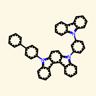 c1ccc(-c2ccc(-n3c4ccccc4c4c5c6ccccc6n(-c6cccc(-n7c8ccccc8c8ccccc87)c6)c5ccc43)cc2)cc1